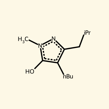 CCCCc1c(CC(C)C)nn(C)c1O